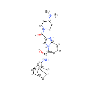 CCN(CC)C1CCN(C(=O)c2cn3c(C(=O)NCC45CC6CC(CC(C6)C4)C5)cccc3n2)CC1